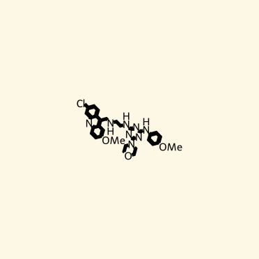 COc1ccc(Nc2nc(NCCNCc3c4ccc(Cl)cc4nc4ccc(OC)cc34)nc(N3CCOCC3)n2)cc1